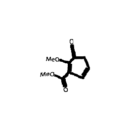 COC(=O)C1=C(OC)C(=O)CC=C1